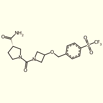 NC(=O)[C@H]1CCN(C(=O)N2CC(OCc3ccc(S(=O)(=O)C(F)(F)F)cc3)C2)C1